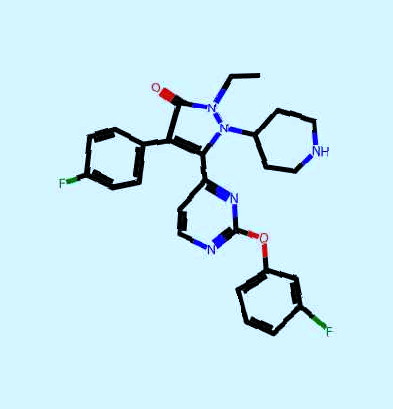 CCn1c(=O)c(-c2ccc(F)cc2)c(-c2ccnc(Oc3cccc(F)c3)n2)n1C1CCNCC1